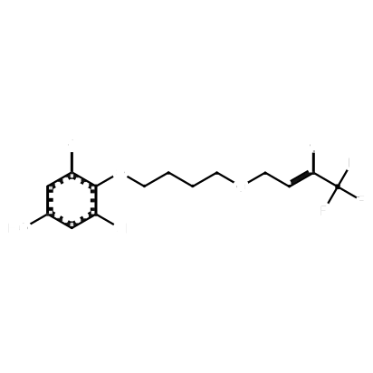 Oc1cc(Cl)c(OCCCCOC/C=C(\Cl)C(F)(F)F)c(Cl)c1